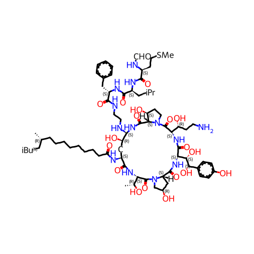 CC[C@H](C)C[C@H](C)CCCCCCCCC(=O)N[C@H]1C[C@@H](O)[C@@H](NCCNC(=O)[C@H](Cc2ccccc2)NC(=O)[C@H](CC(C)C)NC(=O)[C@H](CCSC)NC=O)NC(=O)[C@@H]2[C@@H](O)CCN2C(=O)[C@H]([C@H](O)CCN)NC(=O)[C@H]([C@H](O)[C@@H](O)c2ccc(O)cc2)NC(=O)[C@@H]2C[C@@H](O)CN2C(=O)[C@H]([C@@H](C)O)NC1=O